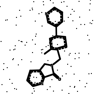 Cc1cc(-c2cccnc2)ccc1CN1Cc2cccnc2C1=O